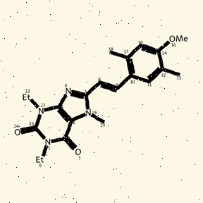 CCn1c(=O)c2c(nc(/C=C/c3cc(C)c(OC)cc3C)n2C)n(CC)c1=O